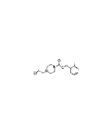 Cc1ccccc1COC(=O)N1CCN(C[C]=O)CC1